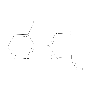 C=NN/C(=C\C)c1ccccc1F